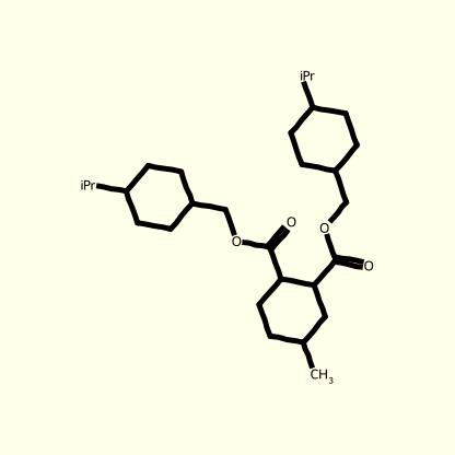 CC1CCC(C(=O)OCC2CCC(C(C)C)CC2)C(C(=O)OCC2CCC(C(C)C)CC2)C1